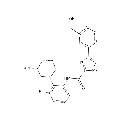 N[C@@H]1CCCN(c2c(F)cccc2NC(=O)c2nc(-c3ccnc(CO)c3)c[nH]2)C1